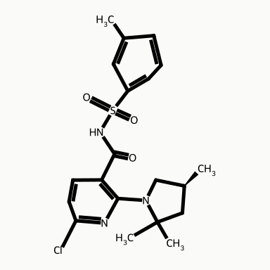 Cc1cccc(S(=O)(=O)NC(=O)c2ccc(Cl)nc2N2C[C@@H](C)CC2(C)C)c1